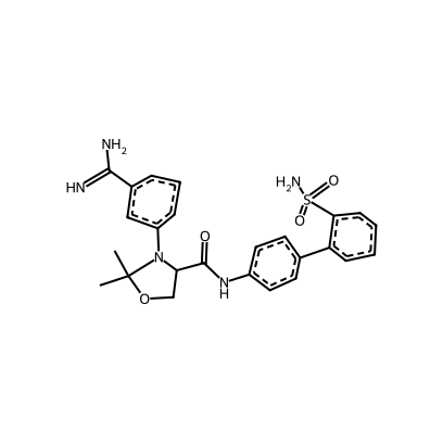 CC1(C)OCC(C(=O)Nc2ccc(-c3ccccc3S(N)(=O)=O)cc2)N1c1cccc(C(=N)N)c1